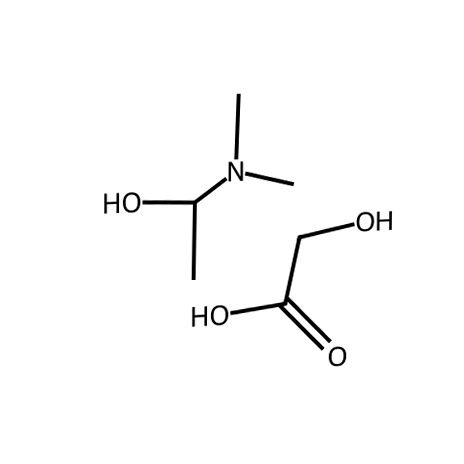 CC(O)N(C)C.O=C(O)CO